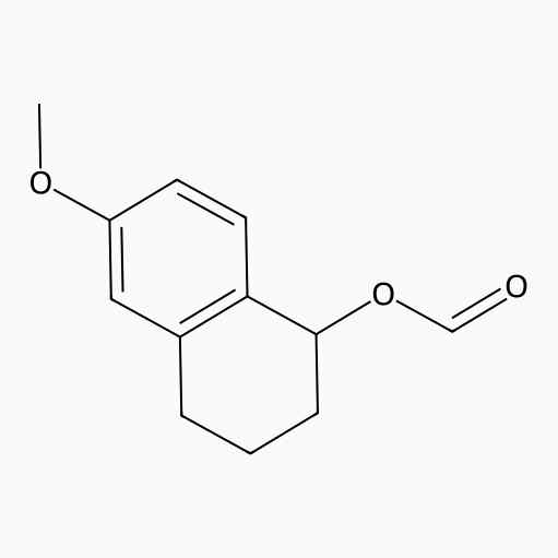 COc1ccc2c(c1)CCCC2OC=O